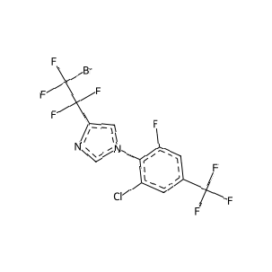 Fc1cc(C(F)(F)F)cc(Cl)c1-n1cnc(C(F)(F)C(F)(F)Br)c1